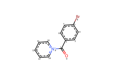 O=C(c1ccc(Br)cc1)[n+]1ccccc1